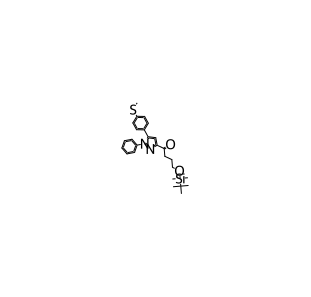 CSc1ccc(-c2cc(C(=O)CCCO[Si](C)(C)C(C)(C)C)nn2-c2ccccc2)cc1